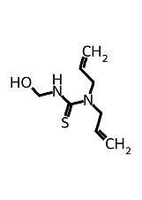 C=CCN(CC=C)C(=S)NCO